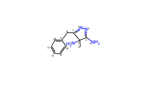 CC1(N)C(N)=NN=C1Cc1ccccc1